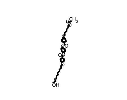 C=CC(=O)OCCCCCCOc1ccc(C(=O)Oc2ccc(OC(=O)c3ccc(OCCCCCCCCCCCO)cc3)cc2)cc1